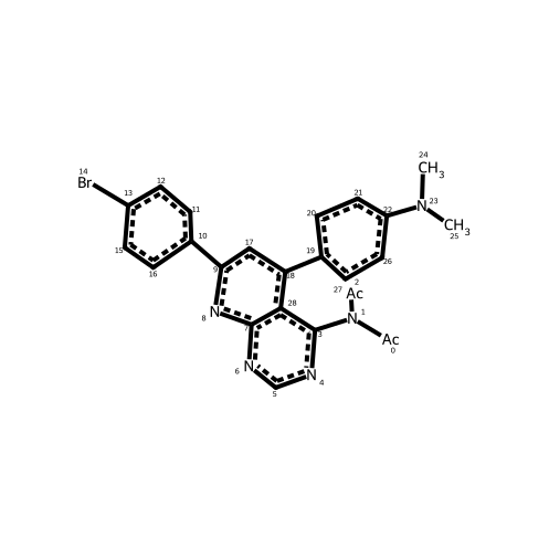 CC(=O)N(C(C)=O)c1ncnc2nc(-c3ccc(Br)cc3)cc(-c3ccc(N(C)C)cc3)c12